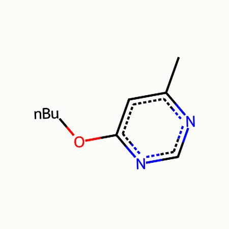 CCCCOc1cc(C)ncn1